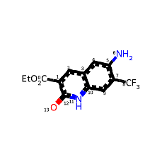 CCOC(=O)c1cc2cc(N)c(C(F)(F)F)cc2[nH]c1=O